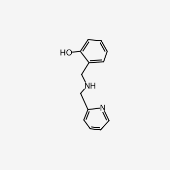 Oc1ccccc1CNCc1ccccn1